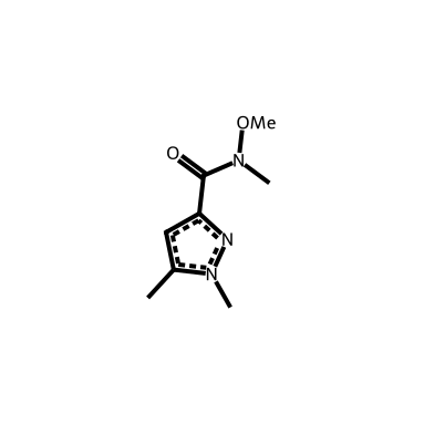 CON(C)C(=O)c1cc(C)n(C)n1